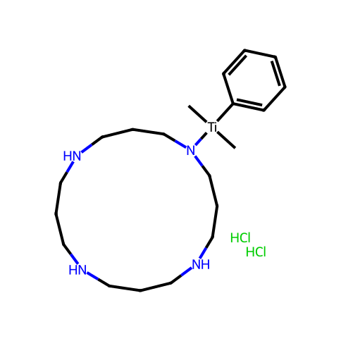 Cl.Cl.[CH3][Ti]([CH3])([c]1ccccc1)[N]1CCCNCCCNCCCNCCC1